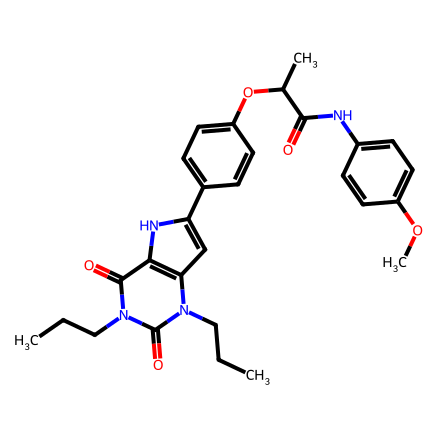 CCCn1c(=O)c2[nH]c(-c3ccc(OC(C)C(=O)Nc4ccc(OC)cc4)cc3)cc2n(CCC)c1=O